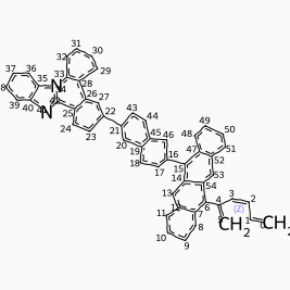 C=C/C=C\C(=C)c1c2ccccc2cc2c(-c3ccc4cc(-c5ccc6c(c5)c5ccccc5n5c7ccccc7nc65)ccc4c3)c3ccccc3cc12